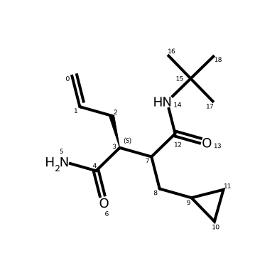 C=CC[C@H](C(N)=O)C(CC1CC1)C(=O)NC(C)(C)C